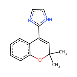 CC1(C)C=C(c2ncc[nH]2)c2ccccc2O1